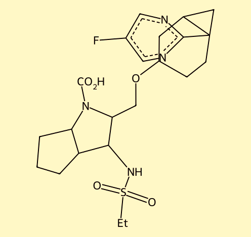 CCS(=O)(=O)NC1C2CCCC2N(C(=O)O)C1COC1CCC2(c3ncc(F)cn3)CC2C1